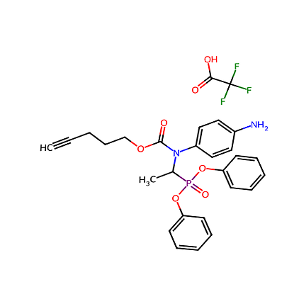 C#CCCCOC(=O)N(c1ccc(N)cc1)C(C)P(=O)(Oc1ccccc1)Oc1ccccc1.O=C(O)C(F)(F)F